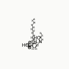 CCC(O)CN.CCCCCCCCCCCCc1ccccc1S(=O)(=O)O